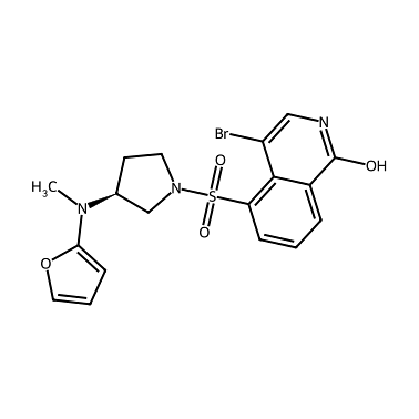 CN(c1ccco1)[C@H]1CCN(S(=O)(=O)c2cccc3c(O)ncc(Br)c23)C1